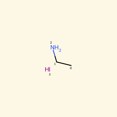 CCN.I